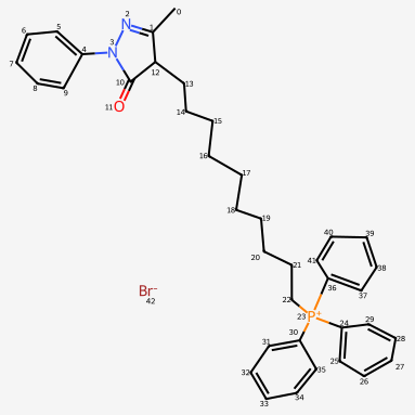 CC1=NN(c2ccccc2)C(=O)C1CCCCCCCCCC[P+](c1ccccc1)(c1ccccc1)c1ccccc1.[Br-]